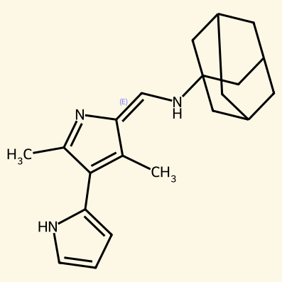 CC1=N/C(=C/NC23CC4CC(CC(C4)C2)C3)C(C)=C1c1ccc[nH]1